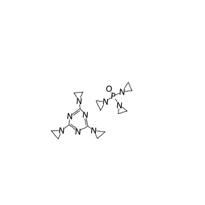 C1CN1c1nc(N2CC2)nc(N2CC2)n1.O=P(N1CC1)(N1CC1)N1CC1